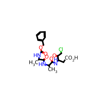 CC(NC(=O)OCc1ccccc1)C(=O)NC(C)C(=O)NC(CC(=O)O)C(=O)CCl